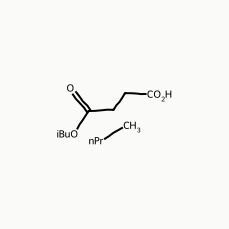 CC(C)COC(=O)CCC(=O)O.CCCC